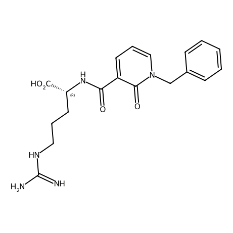 N=C(N)NCCC[C@@H](NC(=O)c1cccn(Cc2ccccc2)c1=O)C(=O)O